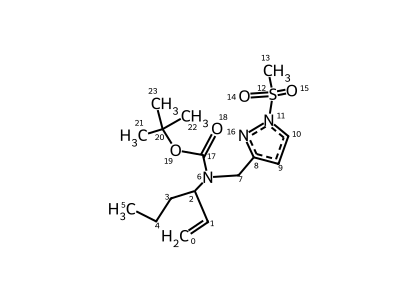 C=CC(CCC)N(Cc1ccn(S(C)(=O)=O)n1)C(=O)OC(C)(C)C